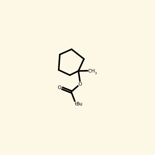 CC1(OC(=O)C(C)(C)C)CCCCC1